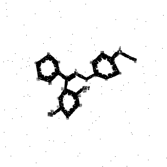 COc1ccc(CN=C(c2ccccc2)c2cc(Br)ccc2O)cc1